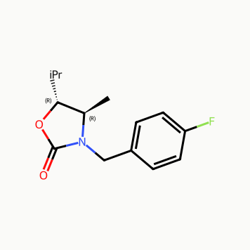 CC(C)[C@H]1OC(=O)N(Cc2ccc(F)cc2)[C@@H]1C